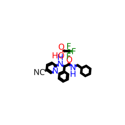 N#Cc1ccc(NC(C(=O)NCC2CCCCC2)c2ccccc2)nc1.O=C(O)C(F)(F)F